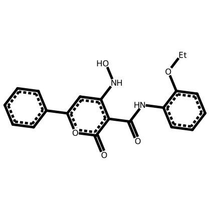 CCOc1ccccc1NC(=O)c1c(NO)cc(-c2ccccc2)oc1=O